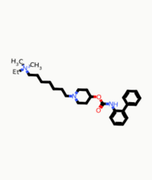 CC[N+](C)(C)CCCCCCCN1CCC(OC(=O)Nc2ccccc2-c2ccccc2)CC1